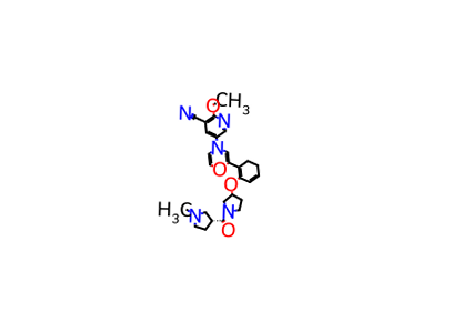 COc1ncc(N2C=COC(C3=C(O[C@H]4CCN(C(=O)[C@@H]5CCN(C)C5)C4)C=CCC3)=C2)cc1C#N